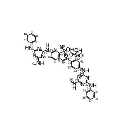 CNc1nc(Nc2ccccc2)nc(Nc2ccc(/C=C/c3ccc(Nc4nc(NC)nc(Nc5ccccc5)n4)cc3S(=O)(=O)O)c(S(=O)(=O)O)c2)n1